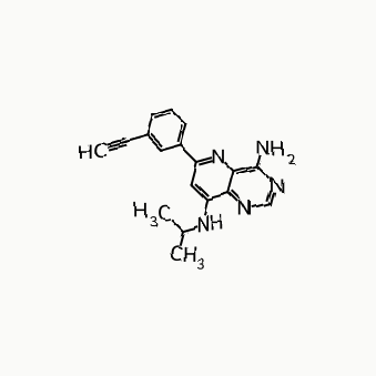 C#Cc1cccc(-c2cc(NC(C)C)c3ncnc(N)c3n2)c1